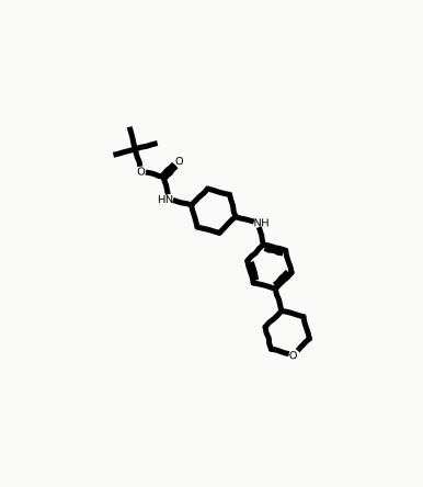 CC(C)(C)OC(=O)NC1CCC(Nc2ccc(C3CCOCC3)cc2)CC1